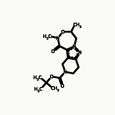 CC1Cn2nc3c(c2C(=O)N(C)O1)CN(C(=O)OC(C)(C)C)CC3